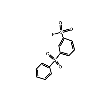 O=S(=O)(F)c1cccc(S(=O)(=O)c2ccccc2)c1